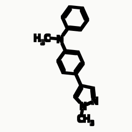 CN(c1ccccc1)c1ccc(-c2cnn(C)c2)cc1